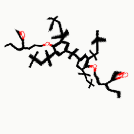 CCCC(CCCOc1c(C(C)(C)CC(C)(C)C)cc(C(C)(C)c2cc(C(C)(C)CC(C)(C)C)c(OCCCC(CCC)C3CO3)c(C(C)(C)CC(C)(C)C)c2)cc1C(C)(C)CC(C)(C)C)C1CO1